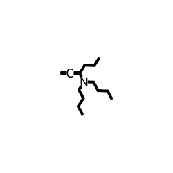 C=C=C(CCC)N(CCCC)CCCC